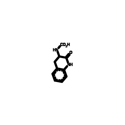 O=C(O)NC1Cc2ccccc2NC1=O